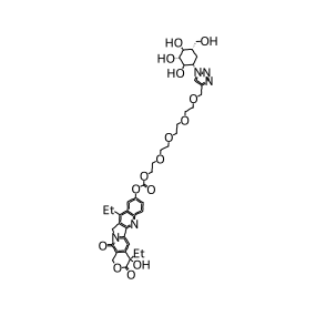 CCc1c2c(nc3ccc(OC(=O)OCCOCCOCCOCCOCc4cn([C@H]5C[C@@H](CO)[C@H](O)[C@@H](O)[C@@H]5O)nn4)cc13)-c1cc3c(c(=O)n1C2)COC(=O)[C@]3(O)CC